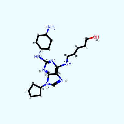 N[C@H]1CC[C@H](Nc2nc(NCCCCCO)c3ncn(C4CCCC4)c3n2)CC1